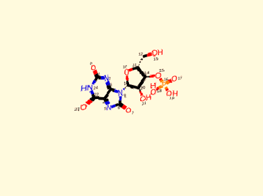 O=C1N=C2C(=NC(=O)N2[C@@H]2O[C@H](CO)[C@@H](OP(=O)(O)O)[C@H]2O)C(=O)N1